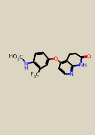 O=C(O)Nc1ccc(Oc2ccnc3c2CCC(=O)N3)cc1C(F)(F)F